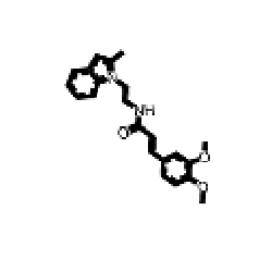 COc1ccc(/C=C/C(=O)NCCn2c(C)cc3ccccc32)cc1OC